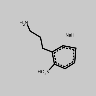 NCCCc1ccccc1S(=O)(=O)O.[NaH]